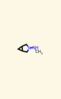 CNN1CC2CC2C1